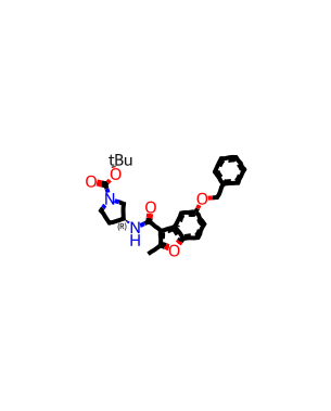 Cc1oc2ccc(OCc3ccccc3)cc2c1C(=O)N[C@@H]1CCN(C(=O)OC(C)(C)C)C1